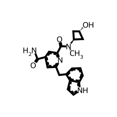 CN(C(=O)c1cc(C(N)=O)cc(Cc2cccc3[nH]ccc23)n1)[C@H]1C[C@H](O)C1